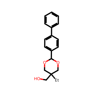 CCC1(CO)COC(c2ccc(-c3ccccc3)cc2)OC1